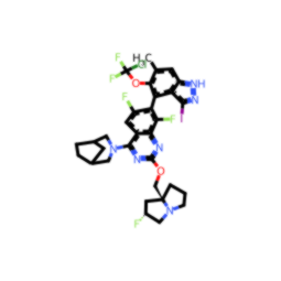 Cc1cc2[nH]nc(I)c2c(-c2c(F)cc3c(N4CC5CCC(C5)C4)nc(OC[C@@]45CCCN4C[C@H](F)C5)nc3c2F)c1OC(F)(F)Cl